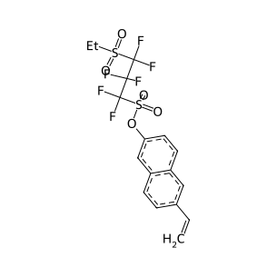 C=Cc1ccc2cc(OS(=O)(=O)C(F)(F)C(F)(F)C(F)(F)S(=O)(=O)CC)ccc2c1